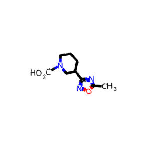 Cc1nc(C2CCCN(C(=O)O)C2)no1